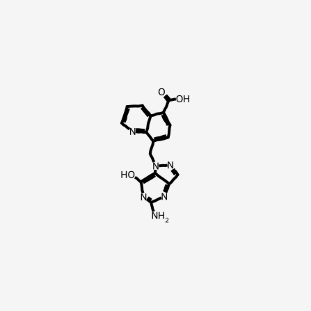 Nc1nc(O)c2c(cnn2Cc2ccc(C(=O)O)c3cccnc23)n1